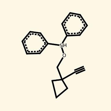 C#CC1(CO[SiH](c2ccccc2)c2ccccc2)CCC1